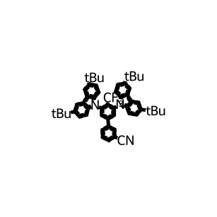 CC(C)(C)c1ccc2c(c1)c1cc(C(C)(C)C)ccc1n2-c1cc(-c2cccc(C#N)c2)cc(-n2c3ccc(C(C)(C)C)cc3c3cc(C(C)(C)C)ccc32)c1C(F)(F)F